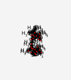 Cc1cc2c3c(c1)-n1c4c(cc(C(C)(C)C)cc4c4oc5ccccc5c41)B3c1ccc(N(c3ccc(C(C)(C)C)cc3)c3ccc(C(C)(C)C)cc3)cc1N2c1cccc2c1oc1cc(C(C)(C)CCC(C)(C)c3ccc(N(c4ccc(C(C)(C)C)cc4)c4ccc5c(c4)N(c4cccc6sc7ccccc7c46)c4cc(C)cc6c4B5c4cc(C(C)(C)C)cc5c7oc8ccccc8c7n-6c45)cc3)ccc12